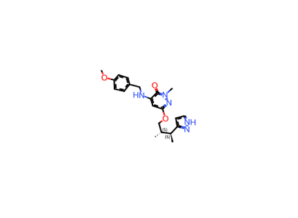 COc1ccc(CNc2cc(OC[C@@H](C)[C@H](C)c3cc[nH]n3)nn(C)c2=O)cc1